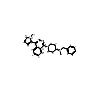 CN(Cc1ccccc1)C1CCN(c2nnc(-c3ccnn3C)c3ccccc23)CC1